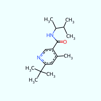 Cc1cc(C(C)(C)C)ncc1C(=O)NC(C)C(C)C